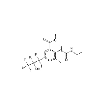 CCNC(=O)Nc1c(C)cc(C(F)(F)C(O)(F)C(F)(F)F)cc1C(=O)OC